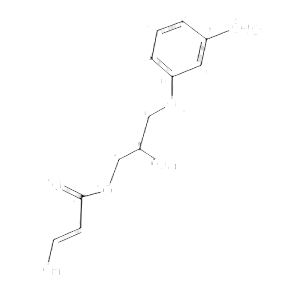 CC=CC(=O)OCC(O)COc1cccc(C=O)c1